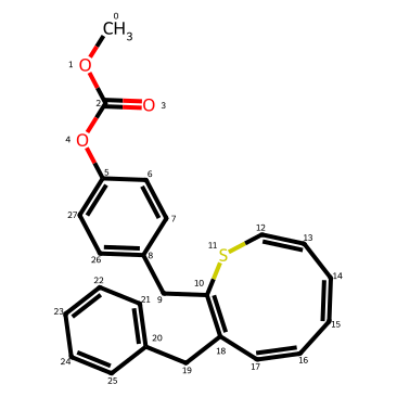 COC(=O)Oc1ccc(Cc2sccccccc2Cc2ccccc2)cc1